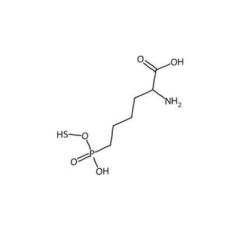 NC(CCCCP(=O)(O)OS)C(=O)O